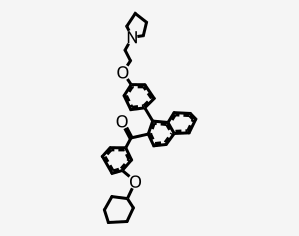 O=C(c1cccc(OC2CCCCC2)c1)c1ccc2ccccc2c1-c1ccc(OCCN2CCCC2)cc1